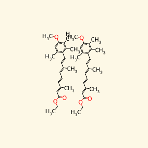 CCOC(=O)/C=C(C)/C=C/C=C(C)/C=C/c1c(C)cc(OC)c(C)c1C.CCOC(=O)/C=C(C)/C=C/C=C(C)/C=C/c1c(C)cc(OC)c(C)c1C